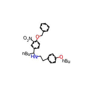 CCCCOc1ccc(CCNC(CCCC)c2ccc(OCc3ccccc3)c([N+](=O)[O-])c2)cc1